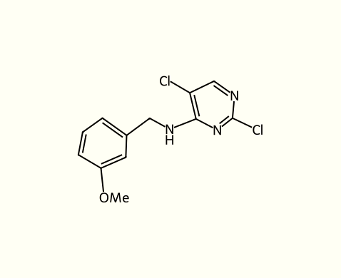 COc1cccc(CNc2nc(Cl)ncc2Cl)c1